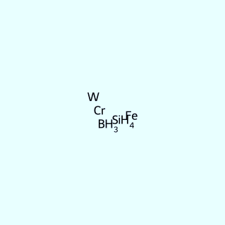 B.[Cr].[Fe].[SiH4].[W]